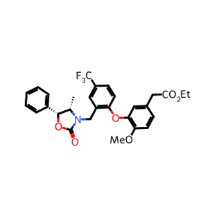 CCOC(=O)Cc1ccc(OC)c(Oc2ccc(C(F)(F)F)cc2CN2C(=O)O[C@H](c3ccccc3)[C@@H]2C)c1